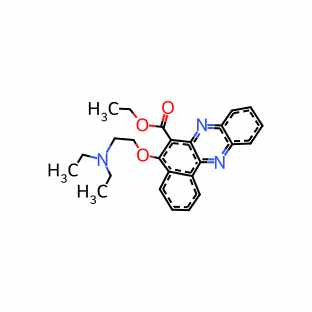 CCOC(=O)c1c(OCCN(CC)CC)c2ccccc2c2nc3ccccc3nc12